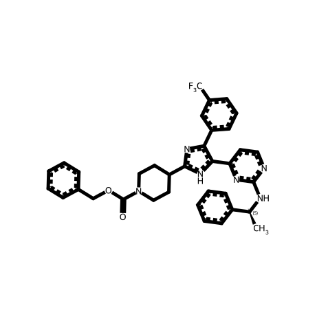 C[C@H](Nc1nccc(-c2[nH]c(C3CCN(C(=O)OCc4ccccc4)CC3)nc2-c2cccc(C(F)(F)F)c2)n1)c1ccccc1